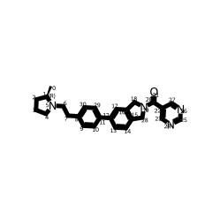 C[C@@H]1CCCN1CCc1ccc(-c2ccc3c(c2)CN(C(=O)c2cncnc2)C3)cc1